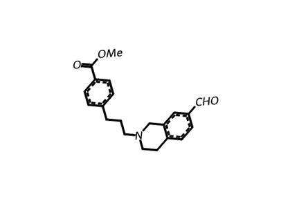 COC(=O)c1ccc(CCCN2CCc3ccc(C=O)cc3C2)cc1